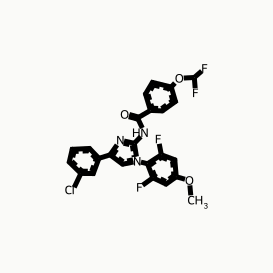 COc1cc(F)c(-n2cc(-c3cccc(Cl)c3)nc2NC(=O)c2ccc(OC(F)F)cc2)c(F)c1